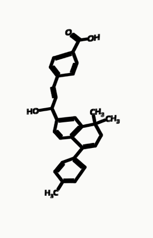 Cc1ccc(C2=CCC(C)(C)c3cc(C(O)C=Cc4ccc(C(=O)O)cc4)ccc32)cc1